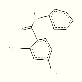 COc1ccc(C(=O)N(c2ccccc2)C(C)C)c(OC)c1